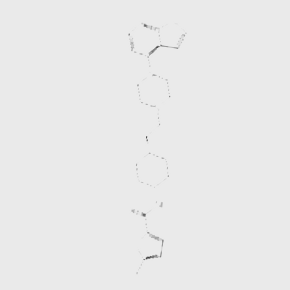 Cc1ccc(C(=O)N[C@H]2CC[C@H](CCN3CCN(c4cccc5sccc45)CC3)CC2)o1